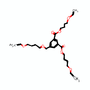 C=COCCCCOCc1cc(C(=O)OCCCCOC=C)cc(C(=O)OCCCCOC=C)c1